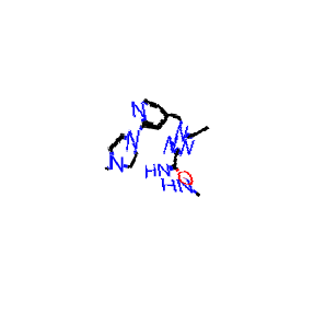 CNOC(=N)c1nc(C)n(Cc2ccnc(N3CCN(C)CC3)c2)n1